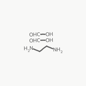 NCCN.O=CO.O=CO